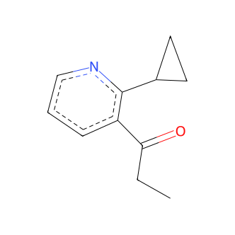 CCC(=O)c1cccnc1C1CC1